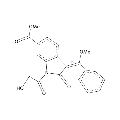 COC(=O)c1ccc2c(c1)N(C(=O)CO)C(=O)/C2=C(/OC)c1ccccc1